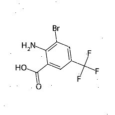 Nc1c(Br)cc(C(F)(F)F)cc1C(=O)O